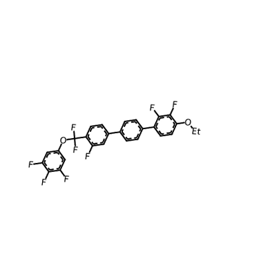 CCOc1ccc(-c2ccc(-c3ccc(C(F)(F)Oc4cc(F)c(F)c(F)c4)c(F)c3)cc2)c(F)c1F